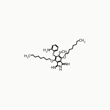 CCCCCCCCOc1c(SC)c(Sc2ccccc2N)c(OCCCCCCCC)c2c1C(=N)NC2=N